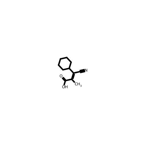 CC(C(=O)O)=C(C#N)C1CCCCC1